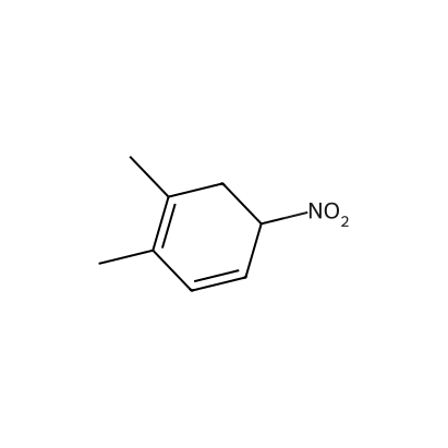 CC1=C(C)CC([N+](=O)[O-])C=C1